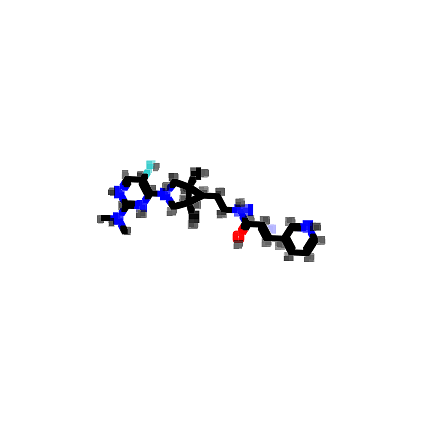 CN(C)c1ncc(F)c(N2C[C@@H]3C(CCNC(=O)/C=C/c4cccnc4)[C@@H]3C2)n1